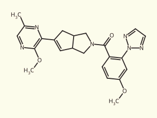 COc1ccc(C(=O)N2CC3C=C(c4nc(C)cnc4OC)CC3C2)c(-n2nccn2)c1